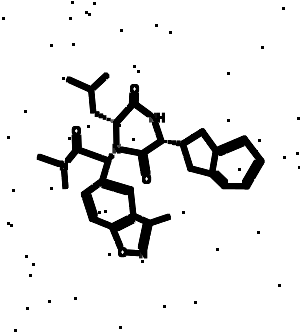 Cc1noc2ccc([C@H](C(=O)N(C)C)N3C(=O)[C@@H](C4Cc5ccccc5C4)NC(=O)[C@H]3CC(C)C)cc12